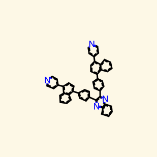 c1ccc2nc(-c3ccc(-c4ccc(-c5ccncc5)c5ccccc45)cc3)c(-c3ccc(-c4ccc(-c5ccncc5)c5ccccc45)cc3)nc2c1